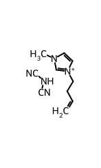 C=CCC[n+]1ccn(C)c1.N#CNC#N